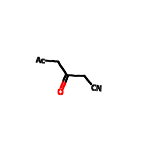 CC(=O)CC(=O)CC#N